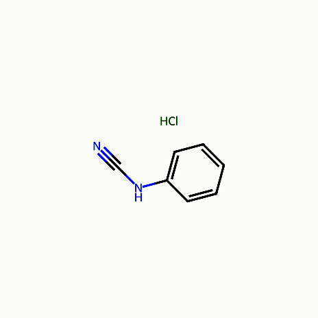 Cl.N#CNc1ccccc1